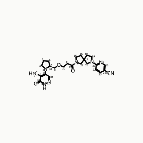 Cc1c(N2CCC[C@H]2COCCC(=O)N2CCC3(CCN(c4ccc(C#N)cn4)C3)C2)cn[nH]c1=O